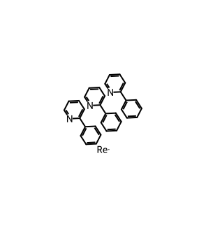 [Re].c1ccc(-c2ccccn2)cc1.c1ccc(-c2ccccn2)cc1.c1ccc(-c2ccccn2)cc1